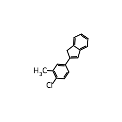 Cc1cc(C2=Cc3ccccc3C2)ccc1Cl